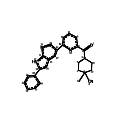 CC1(C#N)CCN(C(=O)c2cccc(-c3cnc4[nH]c(-c5ccccc5)cc4c3)n2)CC1